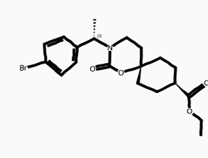 CCOC(=O)[C@H]1CC[C@@]2(CCN([C@@H](C)c3ccc(Br)cc3)C(=O)O2)CC1